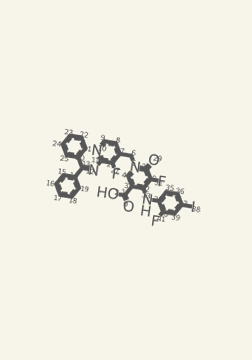 O=C(O)c1cn(Cc2ccnc(N=C(c3ccccc3)c3ccccc3)c2F)c(=O)c(F)c1Nc1ccc(I)cc1F